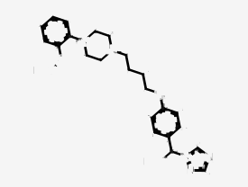 COc1ccccc1N1CCN(CCCCOc2ccc(C(C)n3cncn3)cc2)CC1